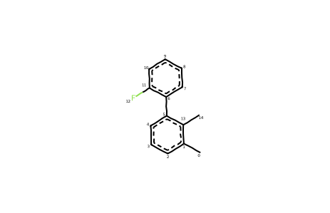 Cc1cccc(-c2ccccc2F)c1C